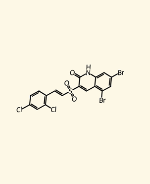 O=c1[nH]c2cc(Br)cc(Br)c2cc1S(=O)(=O)C=Cc1ccc(Cl)cc1Cl